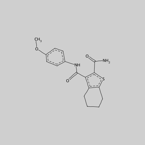 COc1ccc(NC(=O)c2c(C(N)=O)sc3c2CCCC3)cc1